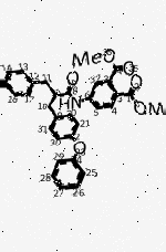 COC(=O)c1ccc(NC(=O)C(Cc2ccccc2)Cc2ccc(Oc3ccccc3)cc2)cc1C(=O)OC